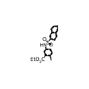 CCOC(=O)c1cc(NS(=O)(=O)c2ccc3ccccc3c2)ccc1C